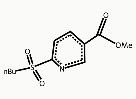 CCCCS(=O)(=O)c1ccc(C(=O)OC)cn1